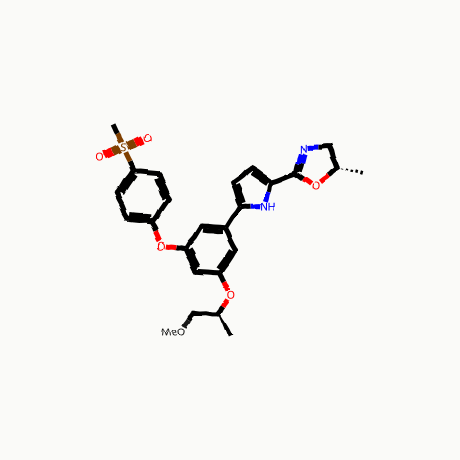 COC[C@H](C)Oc1cc(Oc2ccc(S(C)(=O)=O)cc2)cc(-c2ccc(C3=NC[C@H](C)O3)[nH]2)c1